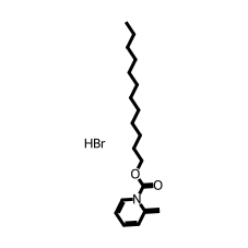 Br.C=C1C=CC=CN1C(=O)OCCCCCCCCCCCC